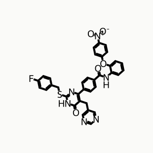 O=C(Nc1ccccc1Oc1ccc([N+](=O)[O-])cc1)c1ccc(-c2nc(SCc3ccc(F)cc3)[nH]c(=O)c2Cc2cncnc2)cc1